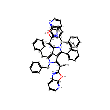 Cc1ccccc1-c1c2/c(=C(\C#N)c3nc4cccnc4o3)n(Bc3ccccc3)c(Cc3ccccc3)c2/c(=C(\C#N)c2nc3cccnc3o2)n1B(c1ccccc1)c1ccccc1